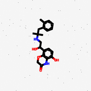 Cc1ccccc1CC(C)(C)NCC(O)c1ccc(O)c2c1OCC(=O)N2